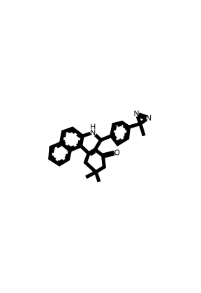 CC1(C)CC(=O)C2=C(C1)c1c(ccc3ccccc13)NC2c1ccc(C2(C)N=N2)cc1